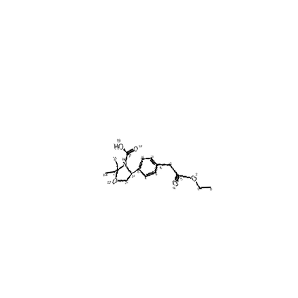 CCOC(=O)Cc1ccc([C@H]2COC(C)(C)N2C(=O)O)cc1